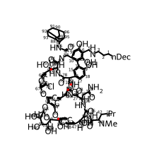 CCCCCCCCCCCCCNCc1c(O)cc2c(c1O)-c1cc(ccc1O)[C@H]1NC(=O)[C@@H]3NC(=O)[C@H](CC(N)=O)NC(=O)[C@H](NC(=O)[C@@H](CC(C)C)NC)[C@H](O)c4ccc5c(c4)C(O)[C@H]4O[C@@H](Oc6c(cc3cc6O5)Oc3ccc(cc3Cl)[C@@H](O)[C@H](NC1=O)C(=O)N[C@@H]2C(=O)NC1C2CC3CC(C2)CC1C3)[C@H](O)[C@@H](O)[C@@H]4O